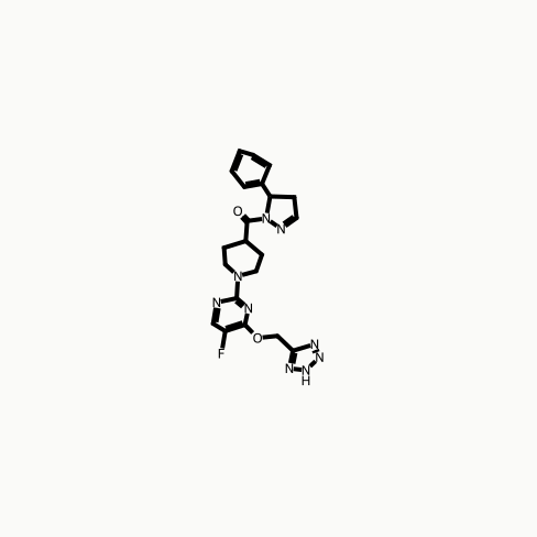 O=C(C1CCN(c2ncc(F)c(OCc3nn[nH]n3)n2)CC1)N1N=CCC1c1ccccc1